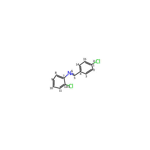 Clc1ccc(/C=N/c2ccccc2Cl)cc1